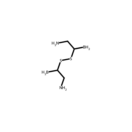 BC(CN)SSC(B)CN